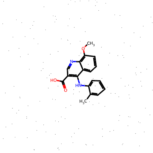 COc1cccc2c(Nc3ccccc3C)c(C(=O)O)cnc12